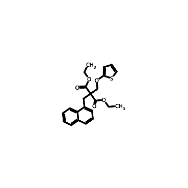 CCOC(=O)C(COc1cccs1)(Cc1cccc2ccccc12)C(=O)OCC